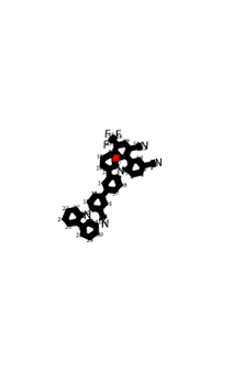 N#Cc1ccc(-n2c3ccccc3c3cc(-c4ccc(-n5c6ccccc6c6ccccc65)c(C#N)c4)ccc32)c(-c2ccc(C(F)(F)F)cc2C#N)c1